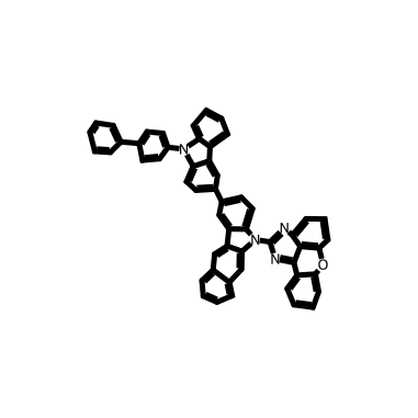 c1ccc(-c2ccc(-n3c4ccccc4c4cc(-c5ccc6c(c5)c5cc7ccccc7cc5n6-c5nc6c7c(cccc7n5)Oc5ccccc5-6)ccc43)cc2)cc1